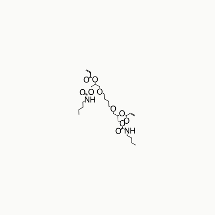 C=CC(=O)OC(COCCCCOCC(COC(=O)NCCCC)OC(=O)C=C)COC(=O)NCCCC